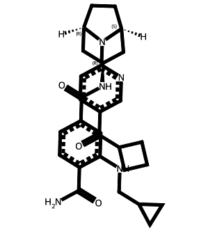 NC(=O)c1ccc(C(=O)N[C@H]2C[C@H]3CC[C@@H](C2)N3c2ccc(C(=O)C3CCC3)cn2)cc1NCC1CC1